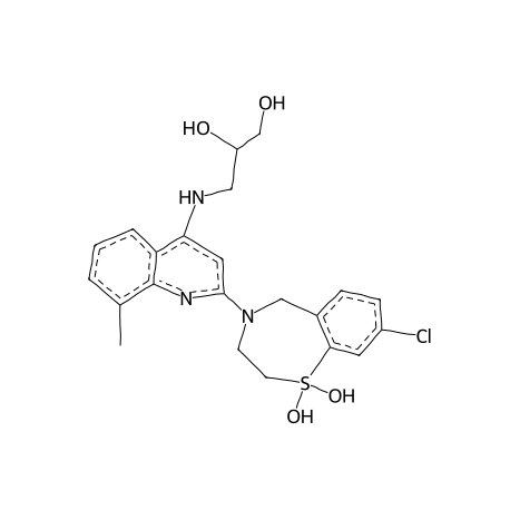 Cc1cccc2c(NCC(O)CO)cc(N3CCS(O)(O)c4cc(Cl)ccc4C3)nc12